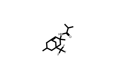 CC1CC2=CC(C)(NC(=O)C(C)C)CC(C(F)(F)F)(C2)C1